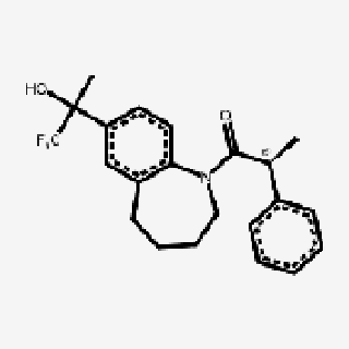 C[C@H](C(=O)N1CCCCc2cc(C(C)(O)C(F)(F)F)ccc21)c1ccccc1